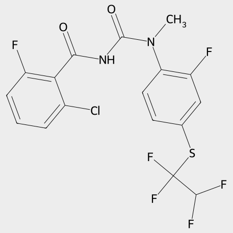 CN(C(=O)NC(=O)c1c(F)cccc1Cl)c1ccc(SC(F)(F)C(F)F)cc1F